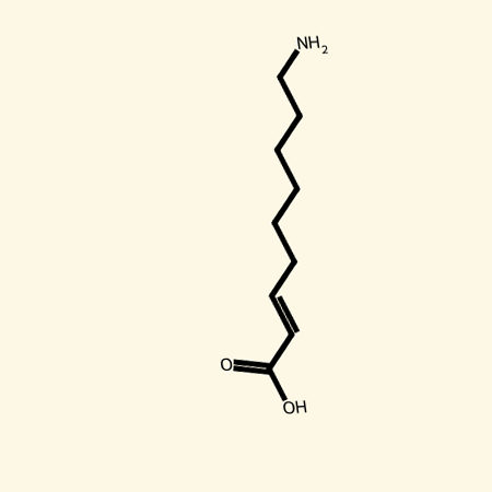 NCCCCCCC=CC(=O)O